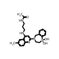 CC(=O)NCCCNc1cc(N2CCS(O)(O)c3ccccc3C2)nc2ccc(C)cc12